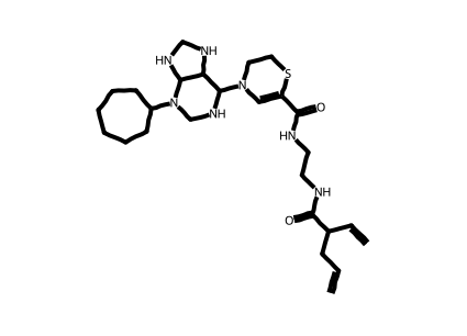 C=CCC(C=C)C(=O)NCCNC(=O)C1=CN(C2NCN(C3CCCCCC3)C3NCNC23)CCS1